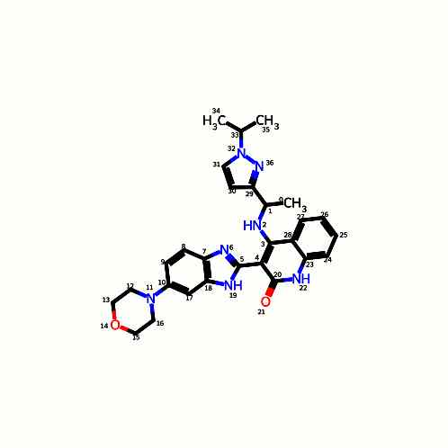 CC(Nc1c(-c2nc3ccc(N4CCOCC4)cc3[nH]2)c(=O)[nH]c2ccccc12)c1ccn(C(C)C)n1